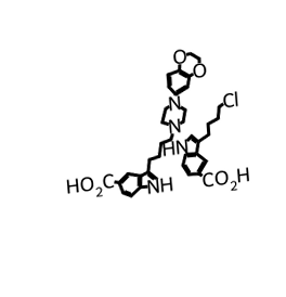 O=C(O)c1ccc2[nH]cc(CCCCCl)c2c1.O=C(O)c1ccc2[nH]cc(CCCCN3CCN(c4ccc5c(c4)OCCO5)CC3)c2c1